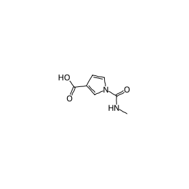 CNC(=O)n1ccc(C(=O)O)c1